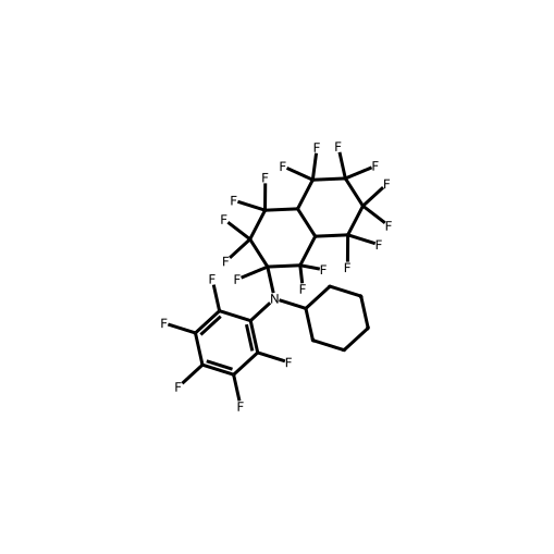 Fc1c(F)c(F)c(N(C2CCCCC2)C2(F)C(F)(F)C3C(C(F)(F)C(F)(F)C(F)(F)C3(F)F)C(F)(F)C2(F)F)c(F)c1F